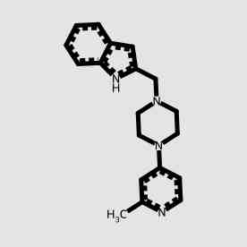 Cc1cc(N2CCN(Cc3cc4ccccc4[nH]3)CC2)ccn1